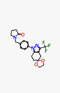 O=C1CCCN1Cc1ccc(-n2nc(C(F)(F)F)c3c2CCC2(C3)OCCO2)cc1